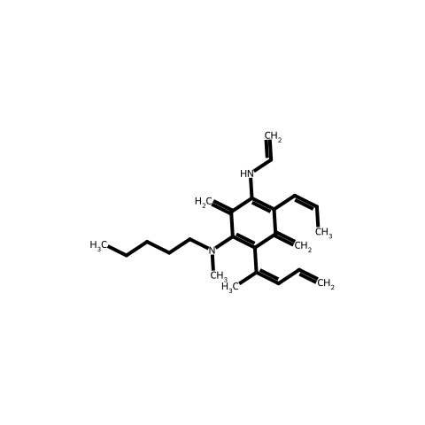 C=C/C=C(/C)c1c(N(C)CCCCC)c(=C)c(NC=C)c(/C=C\C)c1=C